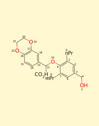 CCCc1cc(CO)cc(CCC)c1OC(C(=O)O)c1ccc2c(c1)OCCO2